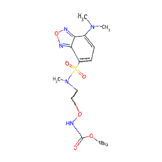 CN(C)c1ccc(S(=O)(=O)N(C)CCONC(=O)OC(C)(C)C)c2nonc12